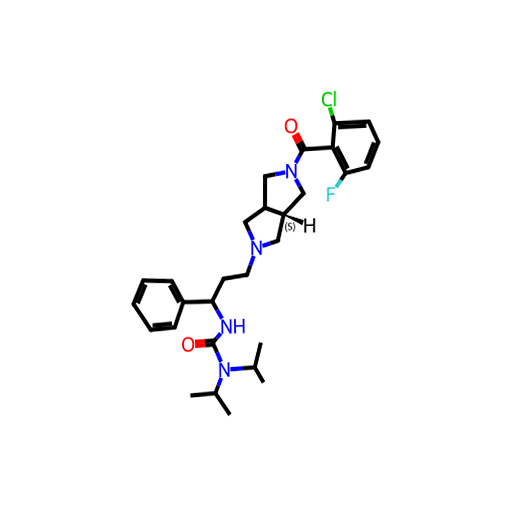 CC(C)N(C(=O)NC(CCN1CC2CN(C(=O)c3c(F)cccc3Cl)C[C@@H]2C1)c1ccccc1)C(C)C